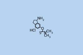 CN(C)C(=S)Oc1ccc2c(c1)C(N)CC2.Cl